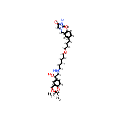 CC1(C)OCc2cc([C@H](O)CNCCCCCCOCCCCc3cccc(CN4CC(=O)NC4=O)c3)ccc2O1